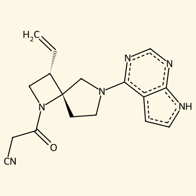 C=C[C@H]1CN(C(=O)CC#N)[C@]12CCN(c1ncnc3[nH]ccc13)C2